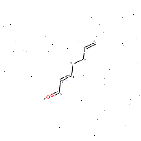 C=CCC/C=C/C=O